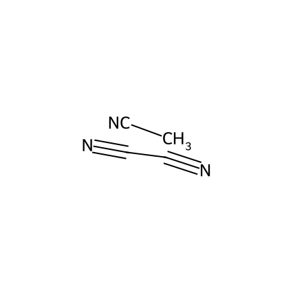 CC#N.N#CC#N